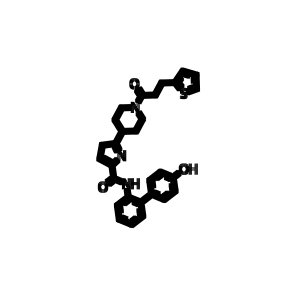 O=C(Nc1ccccc1-c1ccc(O)cc1)C1=CCC(C2CCN(C(=O)CCc3cccs3)CC2)=N1